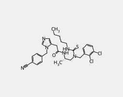 CCCCCNC(=S)N(Cc1cccc(Cl)c1Cl)C[C@H](C)NC(=O)Cc1cncn1Cc1ccc(C#N)cc1